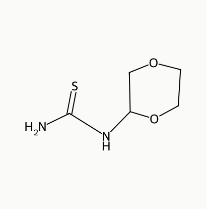 NC(=S)NC1COCCO1